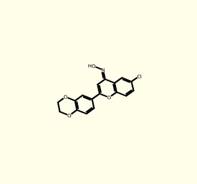 ON=c1cc(-c2ccc3c(c2)OCCO3)oc2ccc(Cl)cc12